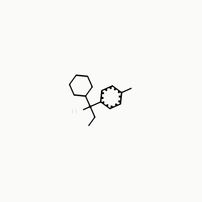 CCC(O)(c1ccc(C)cc1)C1CCCCC1